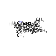 C/C=C\c1oc2c(N(c3ccc(C)cc3)c3ccc(C)cc3)cc3c(c2c1C)-c1cc2c(cc1C3(C)C)-c1c(cc(N(c3ccc(C)cc3)c3ccc(C)cc3)c3c1oc1ccccc13)C2(C)C